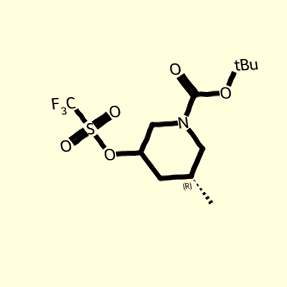 C[C@@H]1CC(OS(=O)(=O)C(F)(F)F)CN(C(=O)OC(C)(C)C)C1